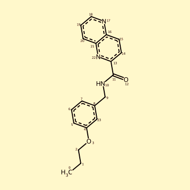 CCCOc1cccc(CNC(=O)c2ccc3ncccc3n2)c1